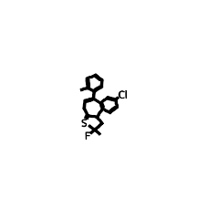 Cc1ccccc1C1=CCC(=S)C(CC(C)(C)F)c2ccc(Cl)cc21